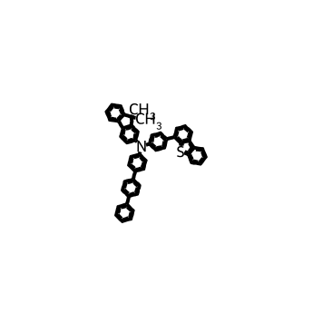 CC1(C)c2ccccc2-c2ccc(N(c3ccc(-c4ccc(-c5ccccc5)cc4)cc3)c3ccc(-c4cccc5c4sc4ccccc45)cc3)cc21